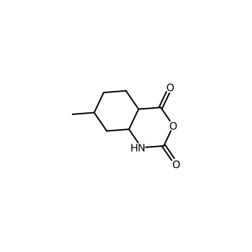 CC1CCC2C(=O)OC(=O)NC2C1